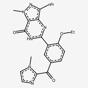 CCCc1nn(C)c2c(=O)[nH]c(-c3cc(C(=O)c4nccn4C)ccc3OCC)nc12